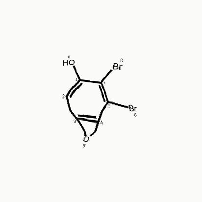 Oc1cc2c(c(Br)c1Br)O2